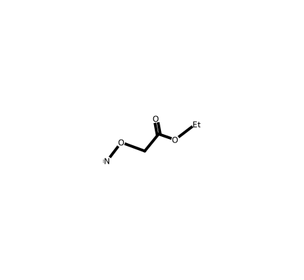 CCOC(=O)CO[N]